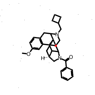 COc1ccc2c(c1)C13CCN(CC4CCC4)C(C2)C12CCC1C3[C@@H](CN1C(=O)c1ccccc1)C2